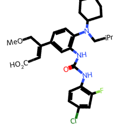 COCC(=CC(=O)O)c1ccc(N(CC(C)C)C2CCCCC2)c(NC(=O)Nc2ccc(Cl)cc2F)c1